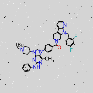 Cc1nc(Nc2ccccc2)nc2c1N(c1ccc(C(=O)N3CCc4c(n(Cc5ccc(F)cc5F)c5ncccc45)C3)cc1)CN2C1CCN(CC(C)(C)C)CC1